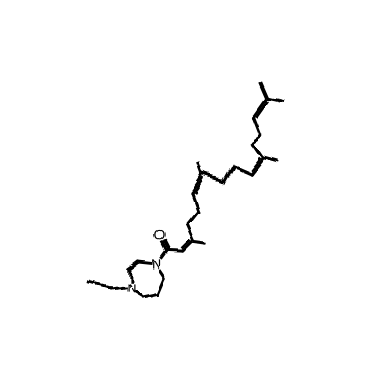 CCN1CCCN(C(=O)C=C(C)CCC=C(C)CCC=C(C)CCC=C(C)C)CC1